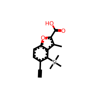 C#Cc1ccc2oc(C(=O)O)c(C)c2c1[Si](C)(C)C